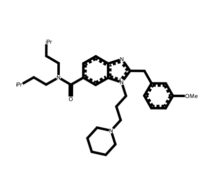 COc1cccc(Cc2nc3ccc(C(=O)N(CCC(C)C)CCC(C)C)cc3n2CCCN2CCCCC2)c1